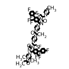 C=CC(=O)N1[C@H](C)CN(c2nc(=O)n3c4c(c(-c5ccc(F)cc5F)c(C(F)(F)F)cc24)SCC3CN2CCN(C(=C)C(=O)N3CCN(c4nc(=O)n5c6c(c(-c7ccc(F)cc7F)c(C(F)(F)F)cc46)SCC5CN4CCN(C)CC4)CC3)CC2)C[C@@H]1C